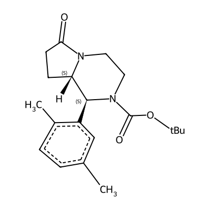 Cc1ccc(C)c([C@H]2[C@@H]3CCC(=O)N3CCN2C(=O)OC(C)(C)C)c1